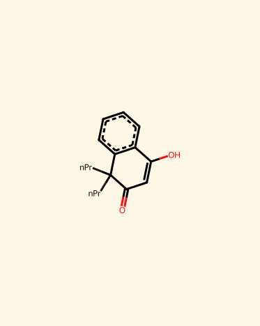 CCCC1(CCC)C(=O)C=C(O)c2ccccc21